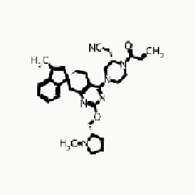 C=CC(=O)N1CCN(c2nc(OC[C@@H]3CCCN3C)nc3c2CC[C@]2(C=C(C)c4ccccc42)C3)C[C@@H]1CC#N